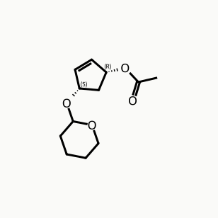 CC(=O)O[C@H]1C=C[C@@H](OC2CCCCO2)C1